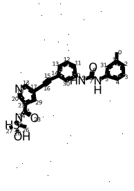 Cc1cccc(NC(=O)Nc2cccc(C#Cc3cncc(C(=O)N=[SH](C)(C)O)c3)c2)c1